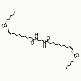 CCCCC[C@H]1O[C@H]1C/C=C\CCCCCCCC(=O)NCCNC(=O)CCCCCCC/C=C\C[C@@H]1O[C@@H]1CCCCC